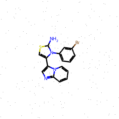 NC1SC=C(c2cnc3ccccn23)N1c1cccc(Br)c1